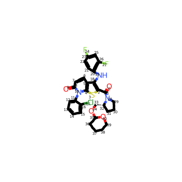 O=C(c1sc2c(ccc(=O)n2-c2ccccc2Cl)c1Nc1ccc(F)cc1F)N1CCC[C@@H]1COC1CCCCO1